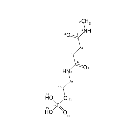 CNC(=O)CCC(=O)NCCOP(=O)(O)O